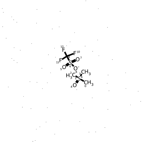 C[S+](C)(C)=O.O=S(=O)([O-])C(F)(F)F